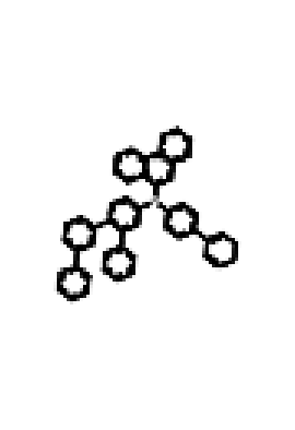 C1=CC(c2ccc(N(c3ccc(-c4cccc(-c5ccccc5)c4)c(-c4ccccc4)c3)c3cc4ccccc4c4ccccc34)cc2)=CCC1